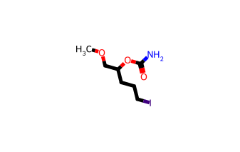 COCC(CCCI)OC(N)=O